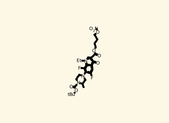 CCn1cc(C(=O)OCCCCO[N+](=O)[O-])c(=O)c2cc(F)c(N3CCN(C(=O)OC(C)(C)C)C(C)C3)c(F)c21